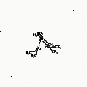 CCCCCCCCCN(CCCN(C)C)C(=O)C(CCCCCCCC(=O)OCC(CCCC)CCCCCC)CCCCCCCC(=O)OCC(CCCC)CCCCCC